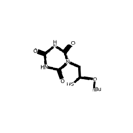 CCCCOC(S)Cn1c(=O)[nH]c(=O)[nH]c1=O